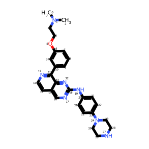 CN(C)CCOc1cccc(-c2nccc3cnc(Nc4ccc(N5CCNCC5)cc4)nc23)c1